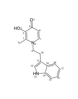 Cc1c(O)c(=O)ccn1CCc1c[nH]c2ccccc12